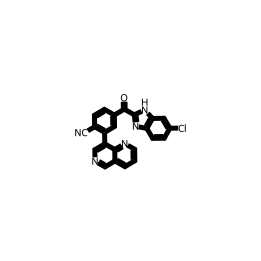 N#Cc1ccc(C(=O)c2nc3ccc(Cl)cc3[nH]2)cc1-c1cncc2cccnc12